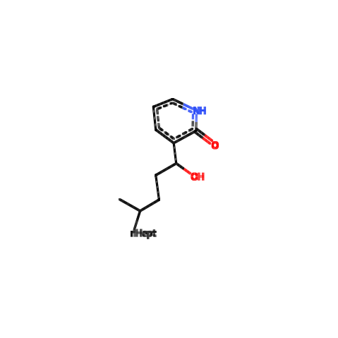 CCCCCCCC(C)CCC(O)c1ccc[nH]c1=O